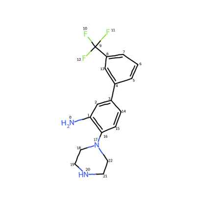 Nc1cc(-c2cccc(C(F)(F)F)c2)ccc1N1CCNCC1